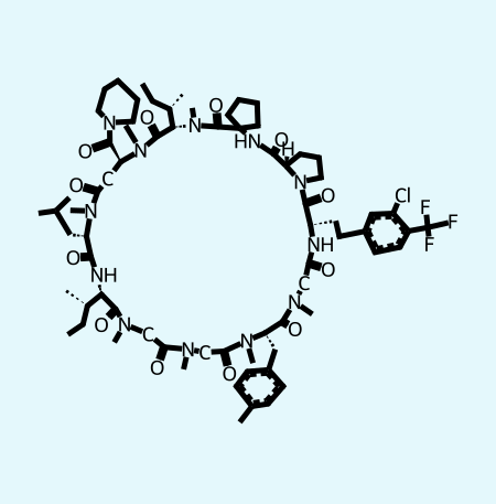 CC[C@H](C)[C@@H]1NC(=O)[C@H](CC(C)C)N(C)C(=O)C[C@@H](C(=O)N2CCCCC2)N(C)C(=O)[C@H]([C@@H](C)CC)N(C)C(=O)C2(CCCC2)NC(=O)[C@@H]2CCCN2C(=O)[C@H](CCc2ccc(C(F)(F)F)c(Cl)c2)NC(=O)CN(C)C(=O)[C@H](Cc2ccc(C)cc2)N(C)C(=O)CN(C)C(=O)CN(C)C1=O